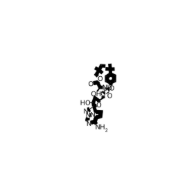 CCC(C)(C)COC(=O)[C@H](C)NP(=O)(OC[C@H]1O[C@@](C#N)(c2ccc3c(N)ncnn23)[C@H](O)[C@@H]1O)Oc1ccc(C(C)(C)C)cc1